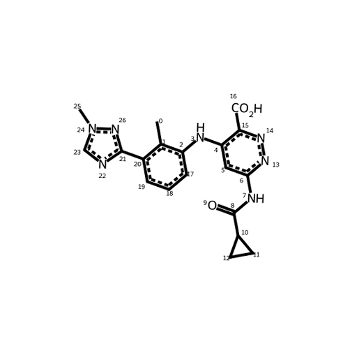 Cc1c(Nc2cc(NC(=O)C3CC3)nnc2C(=O)O)cccc1-c1ncn(C)n1